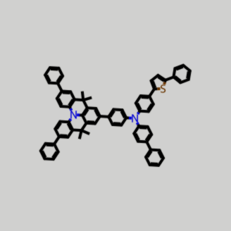 CC1(C)c2cc(-c3ccccc3)ccc2N2c3ccc(-c4ccccc4)cc3C(C)(C)c3cc(-c4ccc(N(c5ccc(-c6ccccc6)cc5)c5ccc(-c6ccc(-c7ccccc7)s6)cc5)cc4)cc1c32